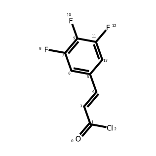 O=C(Cl)/C=C/c1cc(F)c(F)c(F)c1